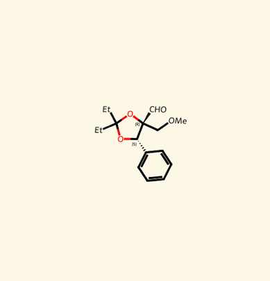 CCC1(CC)O[C@@H](c2ccccc2)[C@@](C=O)(COC)O1